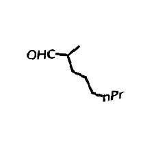 CCCCCCC(C)C=O